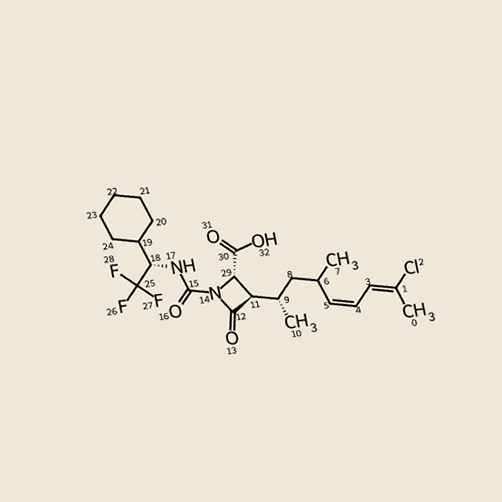 C/C(Cl)=C\C=C/C(C)C[C@H](C)[C@H]1C(=O)N(C(=O)N[C@@H](C2CCCCC2)C(F)(F)F)[C@@H]1C(=O)O